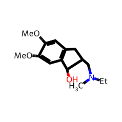 CCN(C)CC1Cc2cc(OC)c(OC)cc2C1O